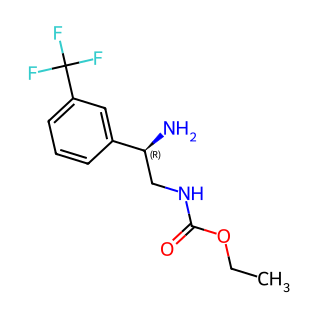 CCOC(=O)NC[C@H](N)c1cccc(C(F)(F)F)c1